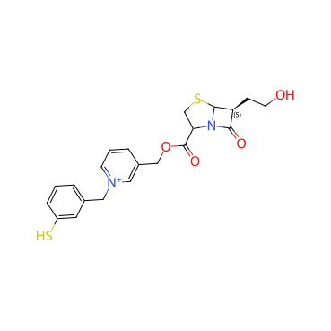 O=C(OCc1ccc[n+](Cc2cccc(S)c2)c1)C1CSC2[C@@H](CCO)C(=O)N12